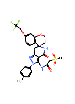 Cc1ccc(-n2nc3c(c2NC(=O)CS(C)(=O)=O)C(=O)N[C@]2(CCOc4cc(OCC(F)(F)F)ccc42)C3)cc1